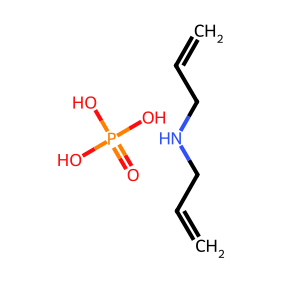 C=CCNCC=C.O=P(O)(O)O